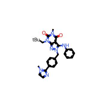 Cn1ccnc1-c1ccc(Cn2nc3c(c2Nc2ccccc2)c(=O)n(C)c(=O)n3CC(C)(C)C)cc1